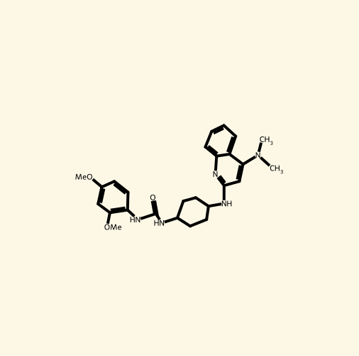 COc1ccc(NC(=O)NC2CCC(Nc3cc(N(C)C)c4ccccc4n3)CC2)c(OC)c1